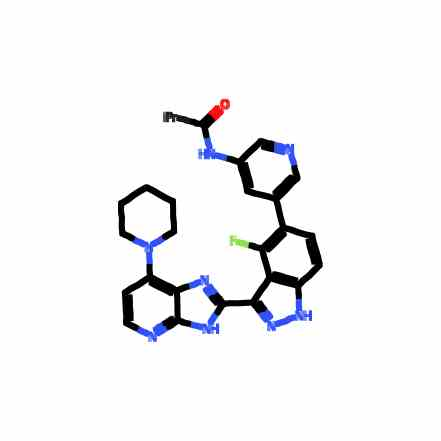 CC(C)C(=O)Nc1cncc(-c2ccc3[nH]nc(-c4nc5c(N6CCCCC6)ccnc5[nH]4)c3c2F)c1